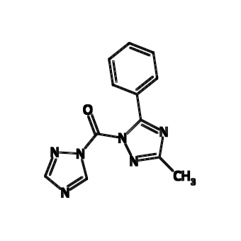 Cc1nc(-c2ccccc2)n(C(=O)n2cncn2)n1